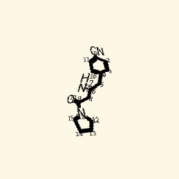 N#Cc1ccc(C[C@@H](N)CC(=O)N2CCCC2)cc1